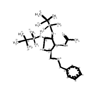 CC(=O)N[C@@H]1C(O[Si](C)(C)C(C)(C)C)[C@@H](O[Si](C)(C)C(C)(C)C)O[C@@H]1COCc1ccccc1